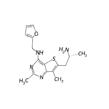 Cc1nc(NCc2ccco2)c2sc(C[C@@H](C)N)c(C)c2n1